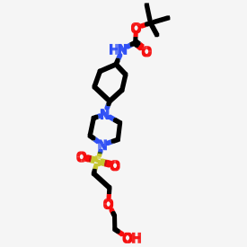 CC(C)(C)OC(=O)NC1CCC(N2CCN(S(=O)(=O)CCOCCO)CC2)CC1